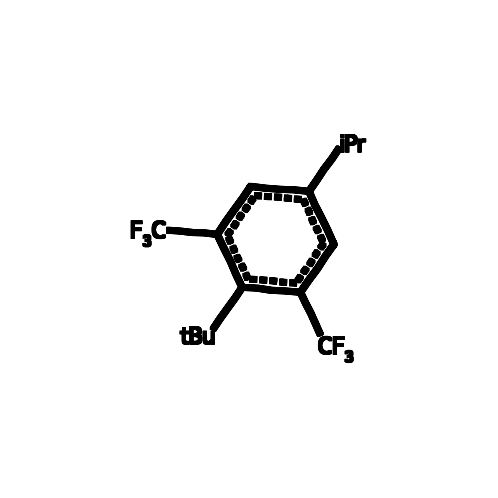 CC(C)c1cc(C(F)(F)F)c(C(C)(C)C)c(C(F)(F)F)c1